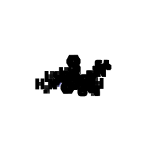 CC(C)c1nc(CN(C)C(=O)NC(CN(C)C)C(=O)N[C@H](CC[C@H](Cc2ccccc2)NC(=O)OC/C(S)=C/N)Cc2ccccc2)cs1